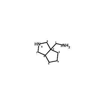 NCC12CCCC1CNC2